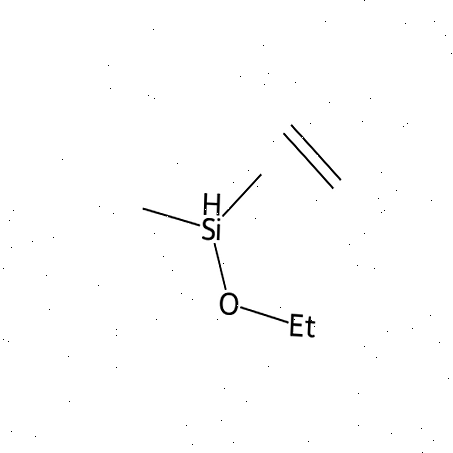 C=C.CCO[SiH](C)C